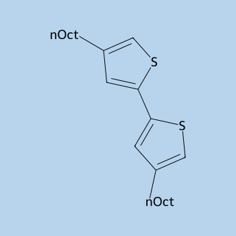 CCCCCCCCc1csc(-c2cc(CCCCCCCC)cs2)c1